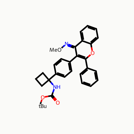 CON=c1c(-c2ccc(C3(NC(=O)OC(C)(C)C)CCC3)cc2)c(-c2ccccc2)oc2ccccc12